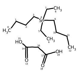 CCC[CH2][Sn]([CH2]C)([CH2]C)[CH2]CCC.O=C(O)CC(=O)O